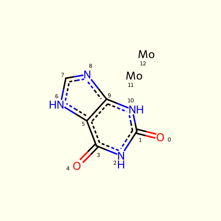 O=c1[nH]c(=O)c2[nH]cnc2[nH]1.[Mo].[Mo]